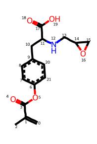 C=C(C)C(=O)Oc1ccc(CC(NCC2CO2)C(=O)O)cc1